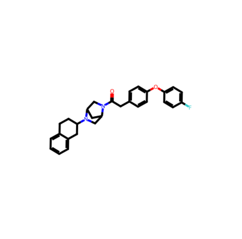 O=C(Cc1ccc(Oc2ccc(F)cc2)cc1)N1CC2CC1CN2C1CCc2ccccc2C1